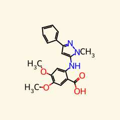 COc1cc(Nc2cc(-c3ccccc3)nn2C)c(C(=O)O)cc1OC